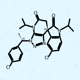 CC(C)N1C(=O)[C@]2(CC(=O)N(C(C)C)c3c2nnn3[C@@H](C)c2ccc(Cl)cc2)c2cc(Cl)ccc21